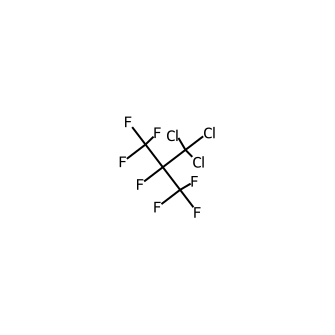 FC(F)(F)C(F)(C(F)(F)F)C(Cl)(Cl)Cl